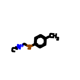 [C-]#[N+]CSc1ccc(C)cc1